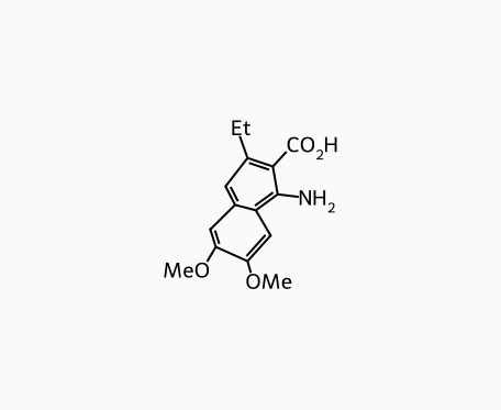 CCc1cc2cc(OC)c(OC)cc2c(N)c1C(=O)O